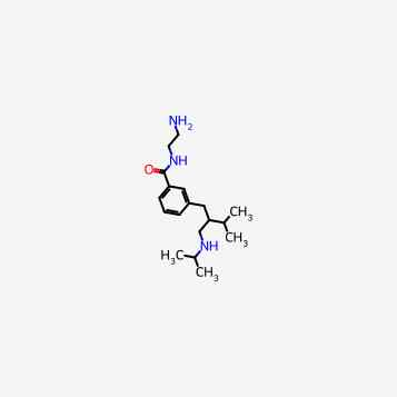 CC(C)NCC(Cc1cccc(C(=O)NCCN)c1)C(C)C